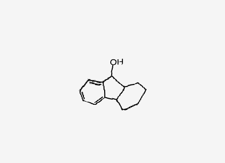 OC1c2ccccc2C2CCCCC12